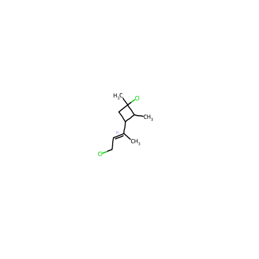 C/C(=C\CCl)C1CC(C)(Cl)C1C